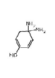 NC1(N)C=CC(O)=CC1